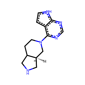 c1nc(N2CCC3CNC[C@@H]3C2)c2cc[nH]c2n1